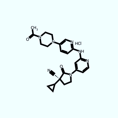 CC(=O)N1CCN(c2ccc(Nc3cc(N4CC[C@@](C#N)(C5CC5)C4=O)ccn3)nc2)CC1.Cl